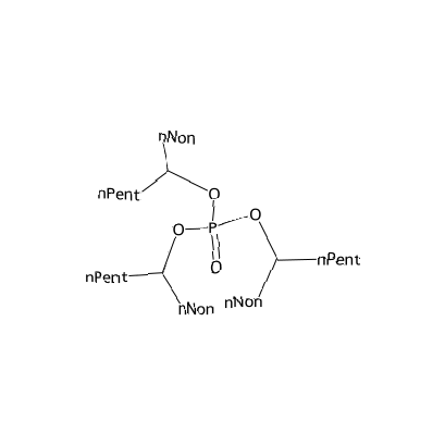 CCCCCCCCCC(CCCCC)OP(=O)(OC(CCCCC)CCCCCCCCC)OC(CCCCC)CCCCCCCCC